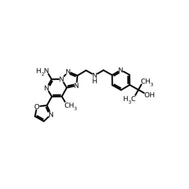 Cc1c(-c2ncco2)nc(N)n2nc(CNCc3ccc(C(C)(C)O)cn3)nc12